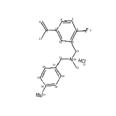 C=C(C)c1ccc(F)c(CN(C)Cc2ccc(C(C)(C)C)cc2)c1.Cl